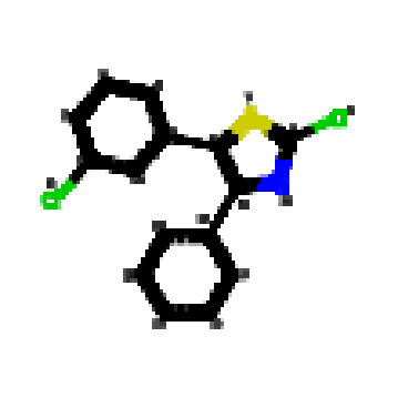 Clc1cccc(-c2sc(Cl)nc2-c2ccccc2)c1